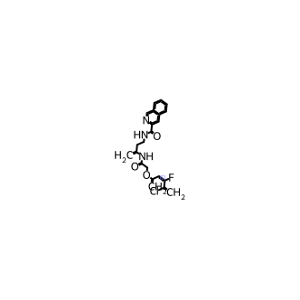 C=C(CCNC(=O)c1cc2ccccc2cn1)NC(=O)COC(=C)/C=C(/F)C(=C)Cl